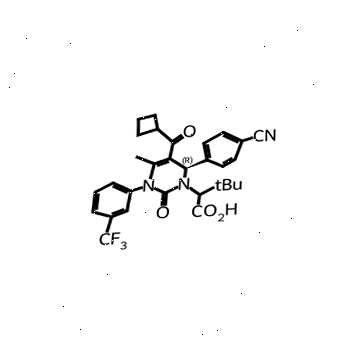 CC1=C(C(=O)C2CCC2)[C@@H](c2ccc(C#N)cc2)N(C(C(=O)O)C(C)(C)C)C(=O)N1c1cccc(C(F)(F)F)c1